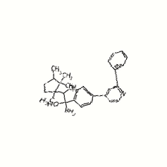 BC(O)(c1ccc(-c2ccnc(-c3ccccc3)c2)cc1)C(C)C1(C)CCC(C)C1(C)C